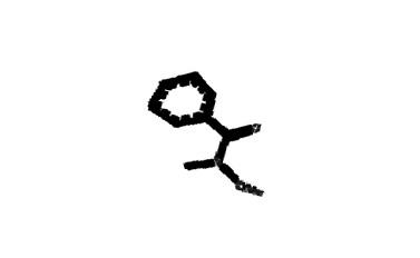 CON(C)C(=O)c1cc[c]cc1